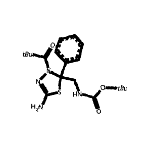 CC(C)(C)OC(=O)NCC1(c2ccccc2)SC(N)=NN1C(=O)C(C)(C)C